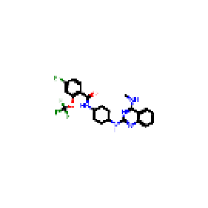 CNc1nc(NC2CCC(NC(=O)c3ccc(Br)cc3OC(F)(F)F)CC2)nc2ccccc12